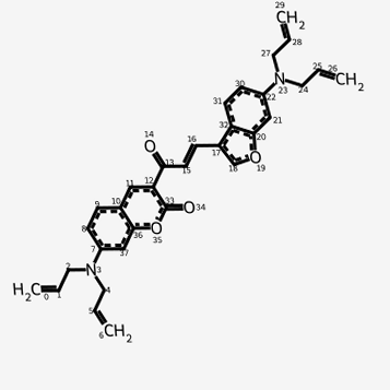 C=CCN(CC=C)c1ccc2cc(C(=O)C=Cc3coc4cc(N(CC=C)CC=C)ccc34)c(=O)oc2c1